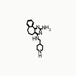 Nc1nc(NCC2CCNCC2)c2c(n1)-c1ccccc1CCC2